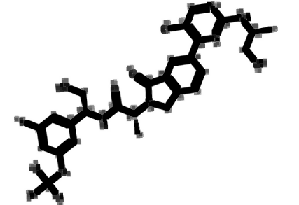 [2H]C([2H])([2H])Oc1cc(F)cc([C@@H](CO)NC(=O)[C@@H](C)N2Cc3ccc(-c4nc(N[C@@H](C)CO)ncc4Cl)cc3C2=O)c1